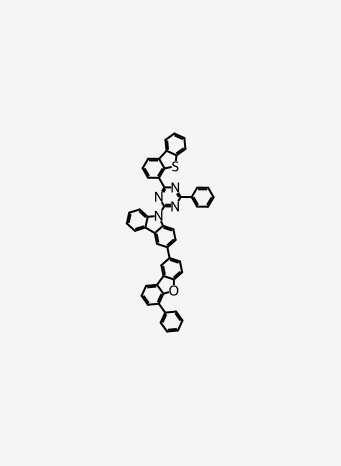 c1ccc(-c2nc(-c3cccc4c3sc3ccccc34)nc(-n3c4ccccc4c4cc(-c5ccc6oc7c(-c8ccccc8)cccc7c6c5)ccc43)n2)cc1